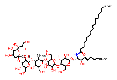 CCCCCCCCCCCCC/C=C/[C@@H](O)[C@H](CO[C@@H]1OC(CO)[C@@H](O[C@@H]2OC(CO)[C@H](O[C@@H]3OC(CO)[C@H](O)[C@H](O[C@@H]4OC(CO)[C@H](O)[C@H](O[C@]5(C(=O)O)CC(O)[C@@H](O)C([C@H](O)[C@H](O)CO)O5)C4O)C3NC(C)=O)[C@H](O)C2O)[C@H](O)C1O)NC(=O)CCCCCCCCCCCCCCCCCCCCCCCCC